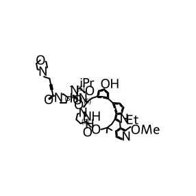 CCn1c(-c2cccnc2COC)c2c3cc(ccc31)-c1cc(O)cc(c1)C[C@H](NC(=O)[C@H](C(C)C)N(C)C(=O)[C@H]1CCN(C(=O)C#CCCN3CCOCC3)C1)C(=O)N1CCC[C@H](N1)C(=O)OCC(C)(C)C2